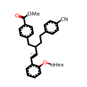 CCCCCCOc1ccccc1/C=C/C(CCc1ccc(C#N)cc1)Cc1ccc(C(=O)OC)cc1